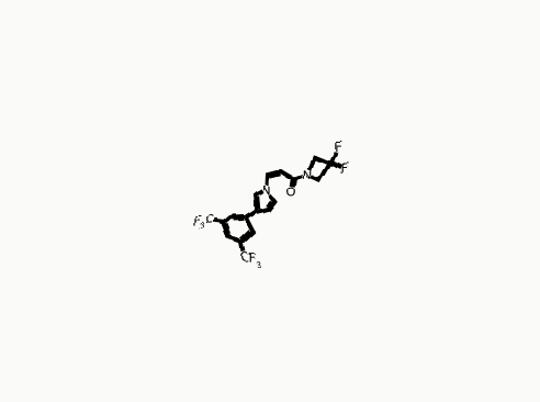 O=C(/C=C\n1ccc(-c2cc(C(F)(F)F)cc(C(F)(F)F)c2)c1)N1CC(F)(F)C1